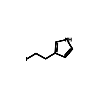 ICCc1cc[nH]c1